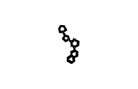 c1ccc2cc(-c3ccnc(N4CCC(N5CCCCC5)C4)n3)ccc2c1